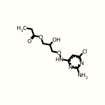 CCC(=O)OCC(O)CONc1cc(Cl)nc(N)n1